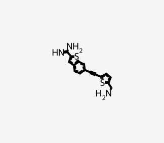 N=C(N)c1cc2ccc(C#Cc3ccc(CN)s3)cc2s1